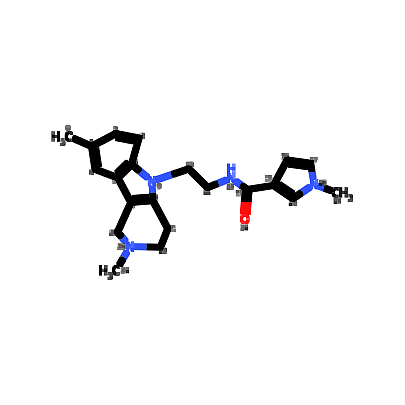 Cc1ccc2c(c1)c1c(n2CCNC(=O)c2ccn(C)c2)CCN(C)C1